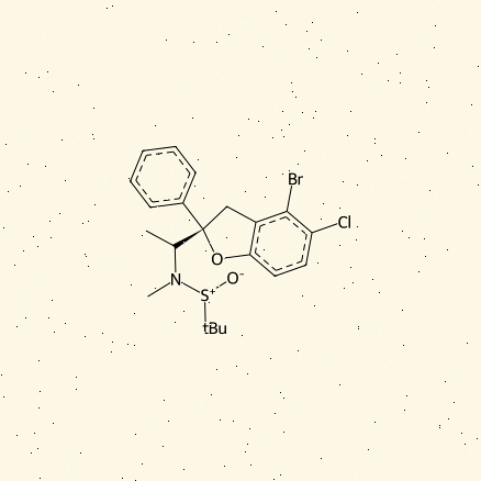 CC(N(C)[S+]([O-])C(C)(C)C)[C@@]1(c2ccccc2)Cc2c(ccc(Cl)c2Br)O1